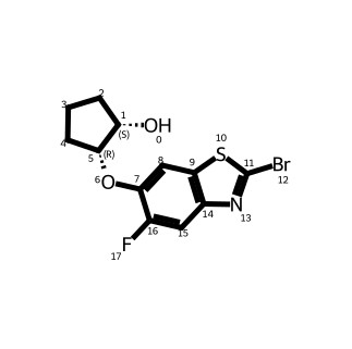 O[C@H]1CCC[C@H]1Oc1cc2sc(Br)nc2cc1F